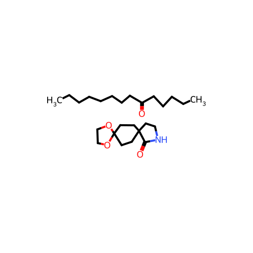 CCCCCCCCC(=O)CCCCC.O=C1NCCC12CCC1(CC2)OCCO1